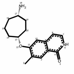 Cc1cc2c(=O)[nH]ccc2cc1O[C@@H]1CCC[C@H](N)CC1